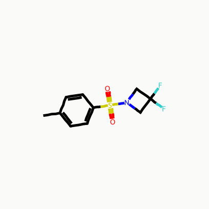 Cc1ccc(S(=O)(=O)N2CC(F)(F)C2)cc1